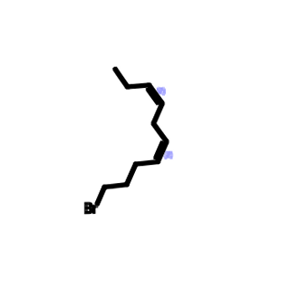 CC/C=C\C/C=C\CCCBr